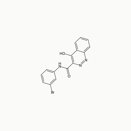 O=C(Nc1cccc(Br)c1)c1nnc2ccccc2c1O